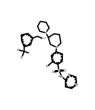 O=S(=O)(Nc1ccncn1)c1ccc(N2CCC[C@](CCc3cccc(C(F)(F)F)c3)(N3CCCCC3)C2)cc1F